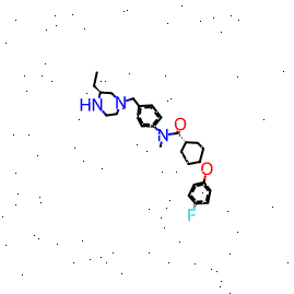 CC[C@H]1CN(Cc2ccc(N(C)C(=O)[C@H]3CC[C@H](Oc4ccc(F)cc4)CC3)cc2)CCN1